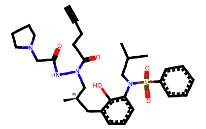 C#CCCC(=O)N(C[C@H](C)Cc1cccc(N(CC(C)C)S(=O)(=O)c2ccccc2)c1O)NC(=O)CN1CCCC1